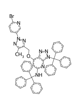 Cc1nn(-c2ccc(Br)nc2)nc1COc1cc(NC(c2ccccc2)(c2ccccc2)c2ccccc2)nc2c1nnn2C(c1ccccc1)(c1ccccc1)c1ccccc1